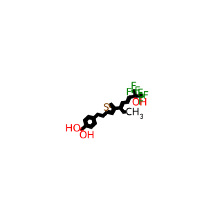 CCC(=CC=CC(O)(C(F)(F)F)C(F)(F)F)c1csc(CCc2ccc(C(O)O)cc2)c1